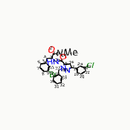 CNC(=O)C(Cc1cccc(Br)c1)NC(=O)c1cc(-c2cccc(Cl)c2)nn1Cc1ccccc1